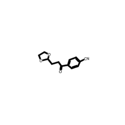 N#Cc1ccc(C(=O)CCC2OCCO2)cc1